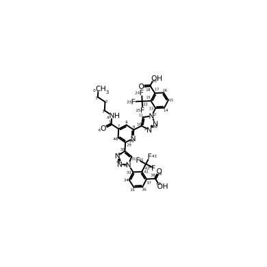 CCCCNC(=O)c1cc(-c2cn(-c3cccc(C(=O)O)c3C(F)(F)F)nn2)nc(-c2cn(-c3cccc(C(=O)O)c3C(F)(F)F)nn2)c1